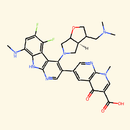 CNc1cc(F)c(F)c2c1[nH]c1ncc(-c3cnc4c(c3)c(=O)c(C(=O)O)cn4C)c(N3CC4OCC(CN(C)C)[C@H]4C3)c12